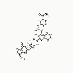 CC(=O)c1cccc(CN2CCC(C(=O)N3CCC(O)(Cn4cnc5c(ccn5C)c4=O)CC3)C(c3ccccc3)C2)c1